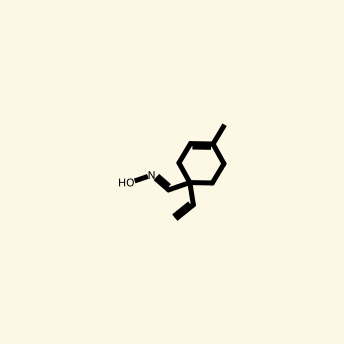 C=CC1(C=NO)CC=C(C)CC1